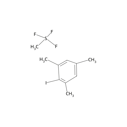 CS(F)(F)F.Cc1cc(C)c(I)c(C)c1